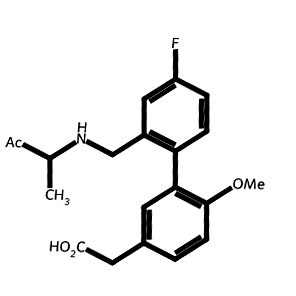 COc1ccc(CC(=O)O)cc1-c1ccc(F)cc1CNC(C)C(C)=O